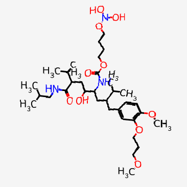 COCCCOc1cc(CC(CC(NC(=O)OCCCCON(O)O)C(O)CC(C(=O)NCC(C)C)C(C)C)C(C)C)ccc1OC